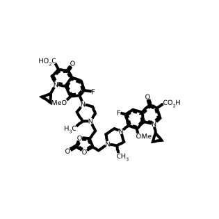 COc1c(N2CCN(Cc3oc(=O)oc3CN3CCN(c4c(F)cc5c(=O)c(C(=O)O)cn(C6CC6)c5c4OC)CC3C)C(C)C2)c(F)cc2c(=O)c(C(=O)O)cn(C3CC3)c12